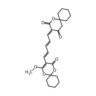 COC1=C(/C=C/C=C/C=C2\C(=O)CC3(CCCCC3)OC2=O)C(=O)OC2(CCCCC2)O1